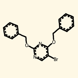 Brc1cnc(OCc2ccccc2)nc1OCc1ccccc1